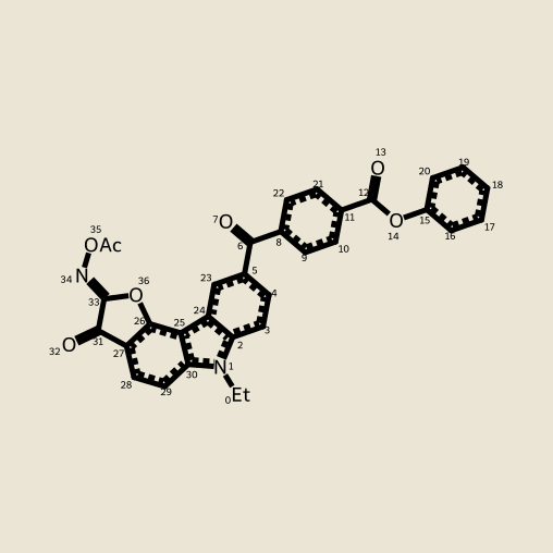 CCn1c2ccc(C(=O)c3ccc(C(=O)Oc4ccccc4)cc3)cc2c2c3c(ccc21)C(=O)/C(=N/OC(C)=O)O3